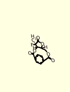 C[C@]1(F)C(=O)O[C@@H]2COC(=O)c3ccc(cc3)C(=O)O[C@H]21